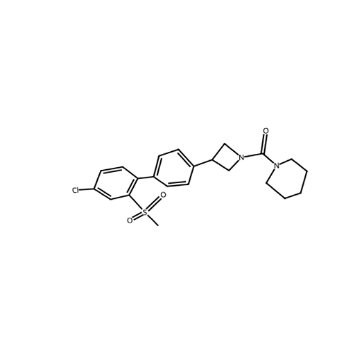 CS(=O)(=O)c1cc(Cl)ccc1-c1ccc(C2CN(C(=O)N3CCCCC3)C2)cc1